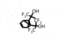 CC(O)(C1=C(C(O)(C(F)(F)F)C(F)(F)F)C2C=CC1C2)C(F)(F)F